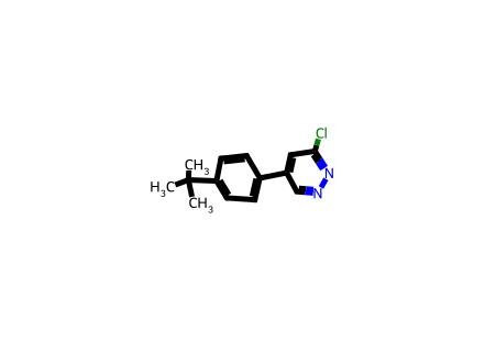 CC(C)(C)c1ccc(-c2cnnc(Cl)c2)cc1